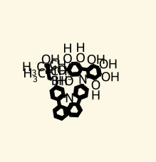 CC(C)(O)C(C)(C)CBc1ccc(-c2ccccc2)c(-n2c3ccccc3c3ccc(-n4c5c(O)c(O)c(O)c(O)c5c5c(O)c(O)c(O)c(O)c54)cc32)c1